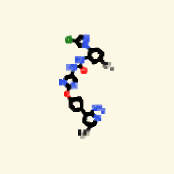 Nc1ncc(C(F)(F)F)cc1-c1ccc(Oc2ncc(NC(=O)Nc3cc(C(F)(F)F)ccc3-n3cc(Cl)cn3)cn2)cc1